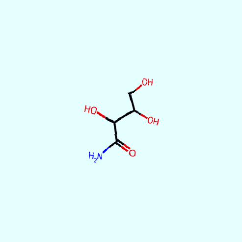 NC(=O)C(O)C(O)CO